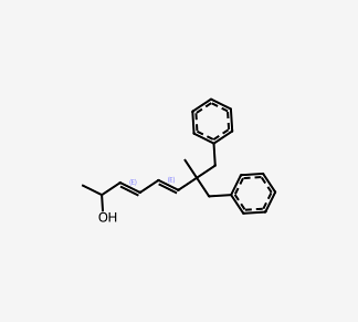 CC(O)/C=C/C=C/C(C)(Cc1ccccc1)Cc1ccccc1